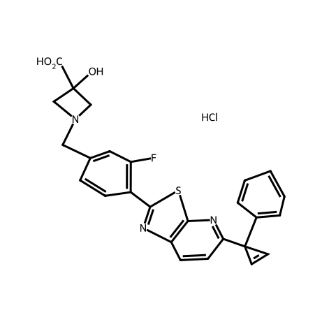 Cl.O=C(O)C1(O)CN(Cc2ccc(-c3nc4ccc(C5(c6ccccc6)C=C5)nc4s3)c(F)c2)C1